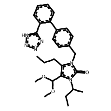 CCCc1c(C(OC)OC)n(C(C)CC)c(=O)n1Cc1ccc(-c2ccccc2-c2nnn[nH]2)cc1